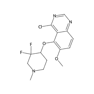 COc1ccc2ncnc(Cl)c2c1OC1CCN(C)CC1(F)F